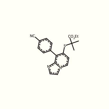 CCOC(=O)C(C)(C)Sc1ccn2ccnc2c1-c1ccc(C#N)cc1